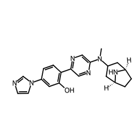 CN(c1cnc(-c2ccc(-n3ccnc3)cc2O)cn1)C1C[C@H]2CC[C@@H](C1)N2